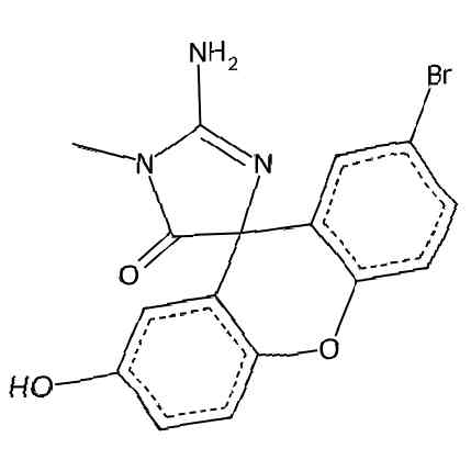 CN1C(=O)C2(N=C1N)c1cc(O)ccc1Oc1ccc(Br)cc12